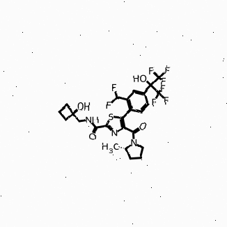 C[C@H]1CCCN1C(=O)c1nc(C(=O)NCC2(O)CCC2)sc1-c1ccc(C(O)(C(F)(F)F)C(F)(F)F)cc1C(F)F